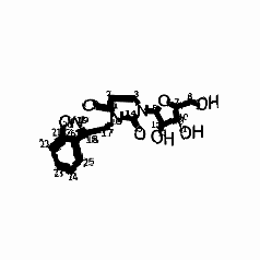 O=c1ccn(C2OC(CO)[C@H](O)C2O)c(=O)n1Cc1noc2ccccc12